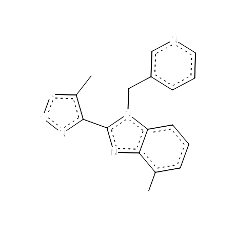 Cc1nsnc1-c1nc2c(F)cccc2n1Cc1cccnc1